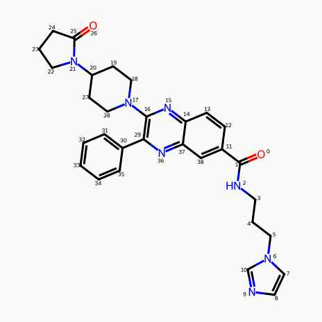 O=C(NCCCn1ccnc1)c1ccc2nc(N3CCC(N4CCCC4=O)CC3)c(-c3ccccc3)nc2c1